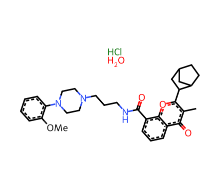 COc1ccccc1N1CCN(CCCNC(=O)c2cccc3c(=O)c(C)c(C4CC5CCC4C5)oc23)CC1.Cl.O